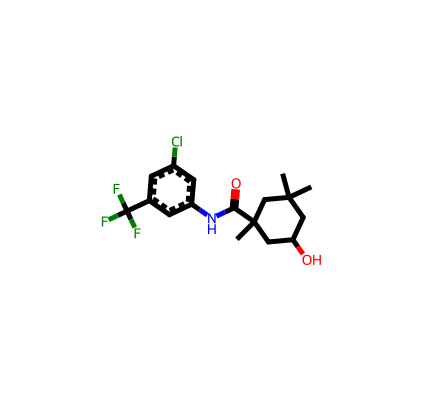 CC1(C)CC(O)CC(C)(C(=O)Nc2cc(Cl)cc(C(F)(F)F)c2)C1